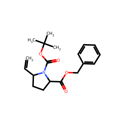 C=CC1CCC(C(=O)OCc2ccccc2)N1C(=O)OC(C)(C)C